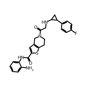 Nc1ccccc1NC(=O)c1cc2c(s1)CCN(C(=O)CNC1CC1c1ccc(F)cc1)C2